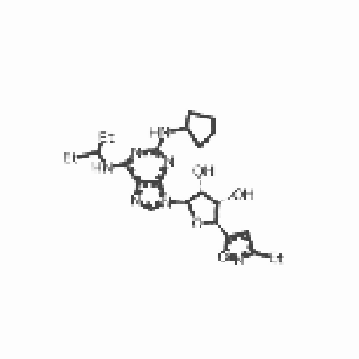 CCc1cc([C@H]2O[C@@H](n3cnc4c(NC(CC)CC)nc(NC5CCCC5)nc43)[C@H](O)[C@@H]2O)on1